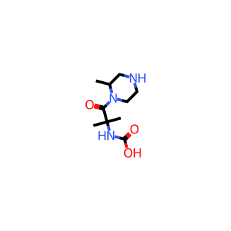 CC1CNCCN1C(=O)C(C)(C)NC(=O)O